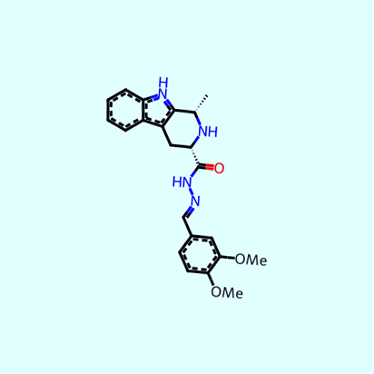 COc1ccc(/C=N/NC(=O)[C@@H]2Cc3c([nH]c4ccccc34)[C@H](C)N2)cc1OC